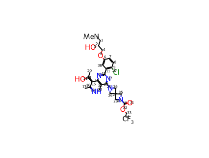 CNC[C@@H](O)COc1ccc(Cl)c(-c2nc(/C(C(C)=N)=C(\C)O)c(C)c(N3CC4(CN(C(=O)OCC(F)(F)F)C4)C3)n2)c1